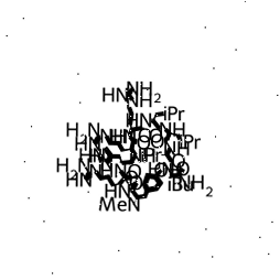 CC[C@H](C)[C@H](NC(=O)[C@@H](NC(=O)[C@H](CC(C)C)NC(=O)[C@H](CC(C)C)NC(=O)[C@H](CCCNC(=N)N)NC(=O)[C@H](CCCNC(=N)N)NC(=O)[C@H](Cc1c[nH]cn1)NC(=O)[C@H](CCCNC(=N)N)NC(=O)[C@H](Cc1ccc(O)cc1)NC)C(C)C)C(N)=O